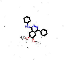 COc1cc2c(Nc3ccccc3)nnc(-c3ccccc3)c2cc1OC